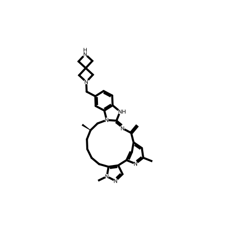 C=C1/N=C2\Nc3ccc(CN4CC5(CNC5)C4)cc3N2C[C@H](C)CCCCc2c(cnn2C)-c2cc1cc(C)n2